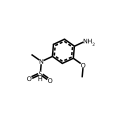 COc1cc(N(C)[SH](=O)=O)ccc1N